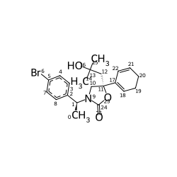 C[C@@H](c1ccc(Br)cc1)N1C[C@@](CC(C)(C)O)(C2=CCCC=C2)OC1=O